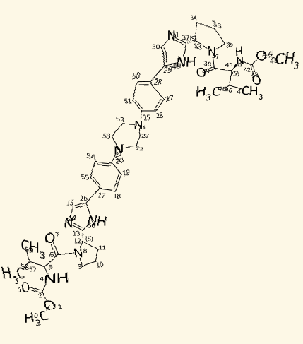 COC(=O)NC(C(=O)N1CCC[C@H]1c1ncc(-c2ccc(N3CCN(c4ccc(-c5cnc([C@@H]6CCCN6C(=O)[C@@H](NC(=O)OC)C(C)C)[nH]5)cc4)CC3)cc2)[nH]1)C(C)C